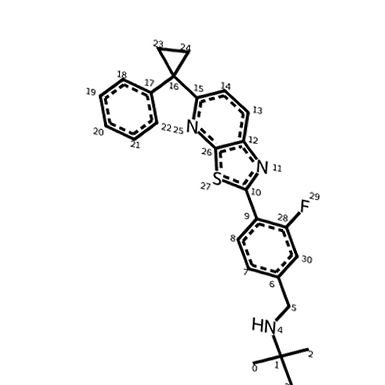 CC(C)(C)NCc1ccc(-c2nc3ccc(C4(c5ccccc5)CC4)nc3s2)c(F)c1